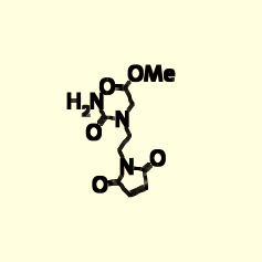 COC(=O)CN(CCN1C(=O)C=CC1=O)C(N)=O